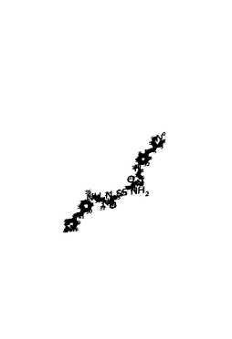 CN1C=CC(/C=C/c2ccc(N(C)CCCN(C)C(=O)C(N)CSSCC(N)C(=O)N(C)CCCN(C)C3=CC=C(/C=C/c4cc[n+](C)cc4)CC3)cc2)=CC1